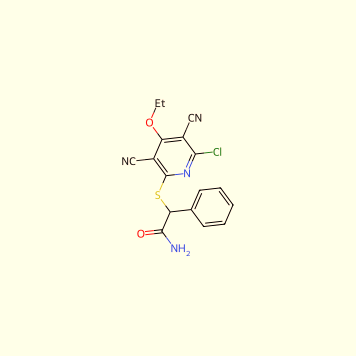 CCOc1c(C#N)c(Cl)nc(SC(C(N)=O)c2ccccc2)c1C#N